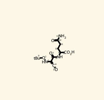 CC(C)(C)ONC(=C=O)C(=O)NC(CCC(N)=O)C(=O)O